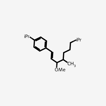 COC(C=Cc1ccc(C(C)C)cc1)C(C)CCCC(C)C